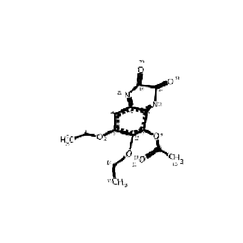 CCOc1cc2c(c(OC(C)=O)c1OCC)=NC(=O)C(=O)N=2